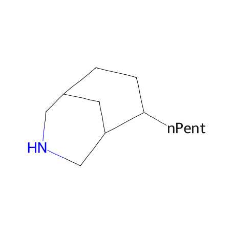 CCCCCC1CCC2CNCC1C2